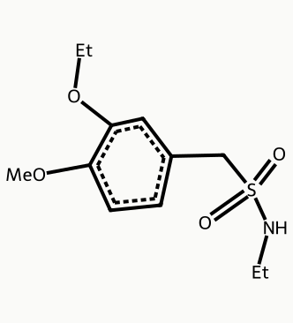 CCNS(=O)(=O)Cc1ccc(OC)c(OCC)c1